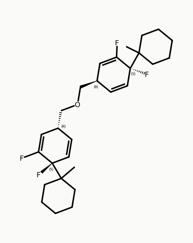 CC1([C@@]2(F)C=C[C@@H](COC[C@@H]3C=C[C@](F)(C4(C)CCCCC4)C(F)=C3)C=C2F)CCCCC1